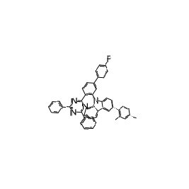 Cc1ccc(-c2ccc3c(c2)c2ccccc2n3-c2cc(-c3ccc(F)cc3)ccc2-c2nc(-c3ccccc3)nc(-c3ccccc3)n2)c(C)c1